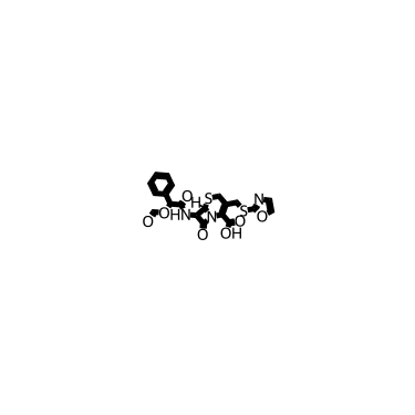 O=COC(C(=O)NC1C(=O)N2C(C(=O)O)=C(CSc3ncco3)CS[C@H]12)c1ccccc1